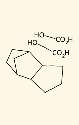 C1CC2C3CCC(C3)C2C1.O=C(O)O.O=C(O)O